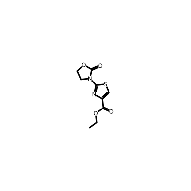 CCOC(=O)c1csc(N2CCOC2=O)n1